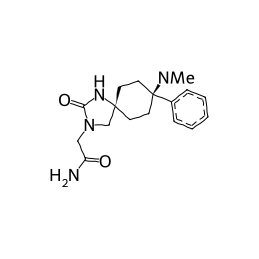 CN[C@]1(c2ccccc2)CC[C@@]2(CC1)CN(CC(N)=O)C(=O)N2